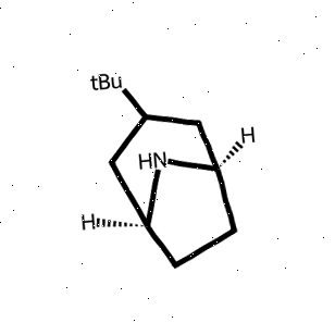 CC(C)(C)C1C[C@H]2CC[C@@H](C1)N2